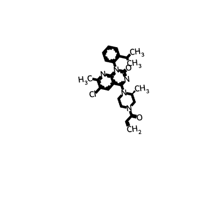 C=CC(=O)N1CCN(c2nc(=O)n(-c3ccccc3C(C)C)c3nc(C)c(Cl)cc23)[C@@H](C)C1